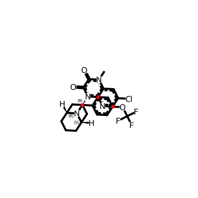 Cn1c(=O)c(=O)n([C@H]2C[C@H]3CCC[C@@H](C2)N3Cc2ccc(OC(F)(F)F)cc2)c2ncc(Cl)cc21